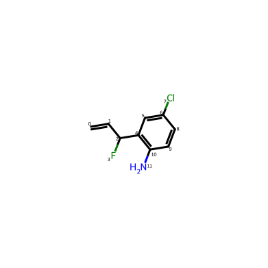 C=CC(F)c1cc(Cl)ccc1N